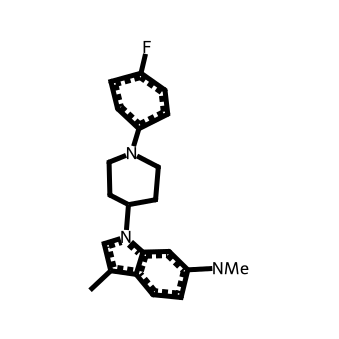 CNc1ccc2c(C)cn(C3CCN(c4ccc(F)cc4)CC3)c2c1